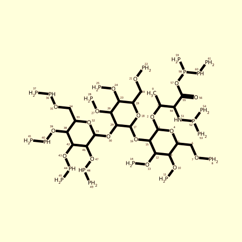 CC(OC1OC(COP)C(OP)C(OP)C1OC1OC(COP)C(OP)C(OP)C1OC1OC(COPP)C(OPP)C(OPP)C1OPP)C(NP(P)P)C(=O)OP(P)PP